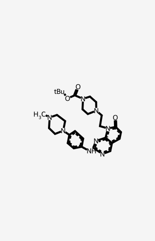 CN1CCN(c2ccc(Nc3ncc4ccc(=O)n(CCN5CCN(C(=O)OC(C)(C)C)CC5)c4n3)cc2)CC1